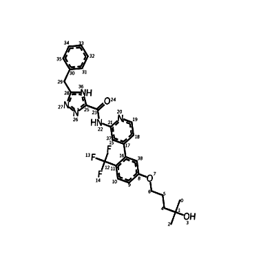 CC(C)(O)CCCOc1ccc(C(F)(F)F)c(-c2ccnc(NC(=O)c3nnc(Cc4ccccc4)[nH]3)c2)c1